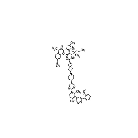 C#Cc1ccc([C@H](C)NC(=O)[C@@H]2C[C@@H](O)CN2C(=O)[C@@H](NC(=O)N2CC3(CC(N4CCC(c5cnc(N6CCc7[nH]c8nnc(-c9ccccc9O)cc8c7[C@H]6C)nc5)CC4)C3)C2)C(C)(C)CCO)cc1